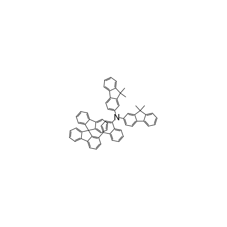 CC1(C)c2ccccc2-c2ccc(N(c3ccc4c(c3)C(C)(C)c3ccccc3-4)c3ccc(-c4cccc5c4C4(c6ccccc6-c6ccccc64)c4ccccc4-5)c4ccccc34)cc21